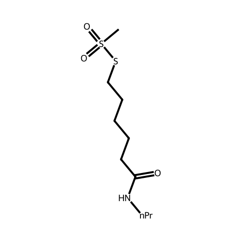 CCCNC(=O)CCCCCSS(C)(=O)=O